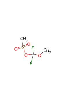 COC(F)(F)OS(C)(=O)=O